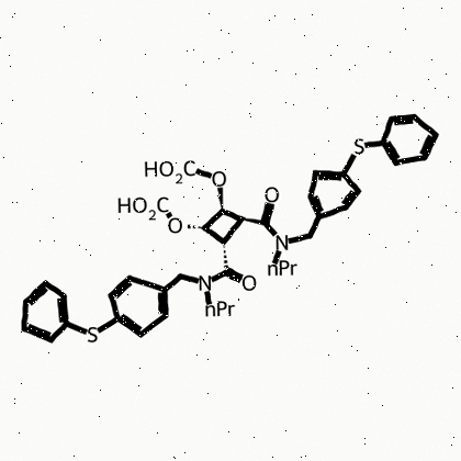 CCCN(Cc1ccc(Sc2ccccc2)cc1)C(=O)[C@@H]1[C@H](OC(=O)O)[C@@H](OC(=O)O)[C@H]1C(=O)N(CCC)Cc1ccc(Sc2ccccc2)cc1